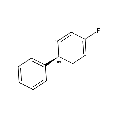 FC1=CC[C@@H](c2ccccc2)[C]=C1